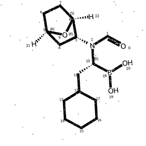 O=CN([C@@H]1C[C@H]2CC[C@@H]1O2)[C@@H](CC1CCCCC1)B(O)O